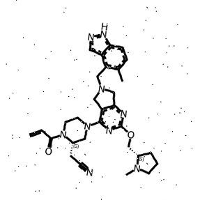 C=CC(=O)N1CCN(c2nc(OC[C@@H]3CCCN3C)nc3c2CN(Cc2c(C)ccc4[nH]ncc24)C3)C[C@@H]1CC#N